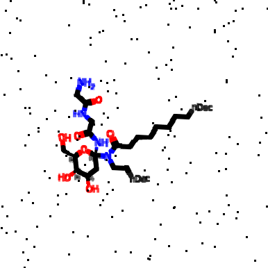 CCCCCCCCCCCCCCCCCC(=O)N(CCCCCCCCCCCC)[C@@]1(NC(=O)CNC(=O)CN)C[C@@H](O)[C@@H](O)[C@@H](CO)O1